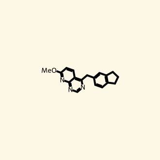 COc1ccc2c(Cc3ccc4c(c3)CCC4)ncnc2n1